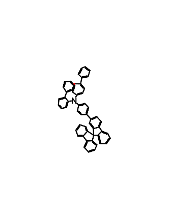 c1ccc(-c2ccc(N(c3ccc(-c4ccc5c(c4)C4(c6ccccc6-c6ccccc64)c4ccccc4-5)cc3)c3ccccc3-c3ccccc3)cc2)cc1